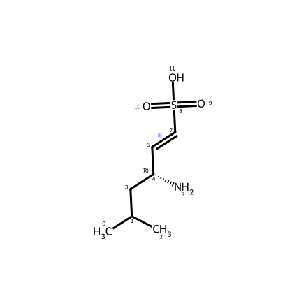 CC(C)C[C@@H](N)/C=C/S(=O)(=O)O